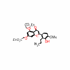 C=CCc1c(-c2cc(=O)c3c(OCC(=O)OCC)cc(OCC(=O)OCC)cc3o2)ccc(OC)c1O